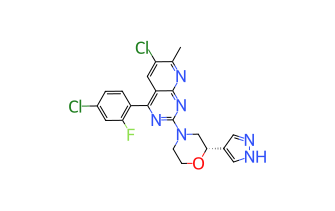 Cc1nc2nc(N3CCO[C@@H](c4cn[nH]c4)C3)nc(-c3ccc(Cl)cc3F)c2cc1Cl